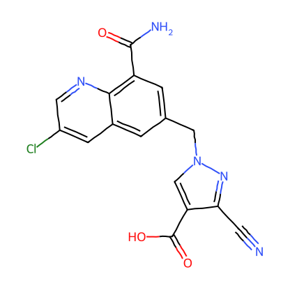 N#Cc1nn(Cc2cc(C(N)=O)c3ncc(Cl)cc3c2)cc1C(=O)O